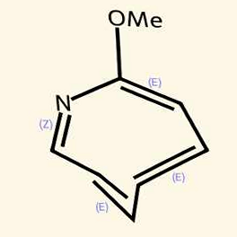 COC1=C/C=C/C=C/C=N\1